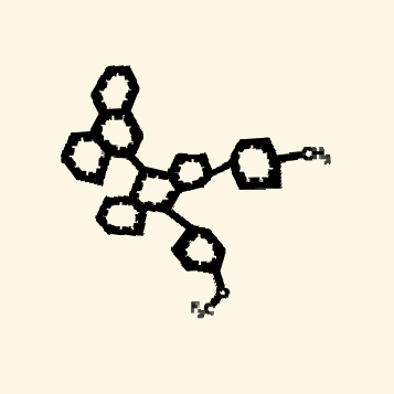 Cc1ccc(-c2ccc3c(-c4cc5ccccc5c5ccccc45)c4ccccc4c(-c4ccc(OC(F)(F)F)cc4)c3c2)cc1